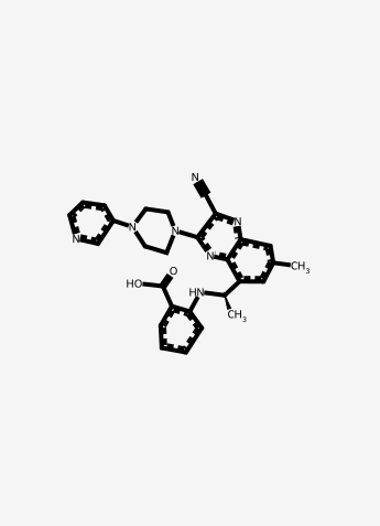 Cc1cc([C@@H](C)Nc2ccccc2C(=O)O)c2nc(N3CCN(c4cccnc4)CC3)c(C#N)nc2c1